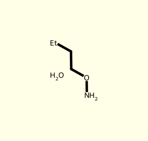 CCCCON.O